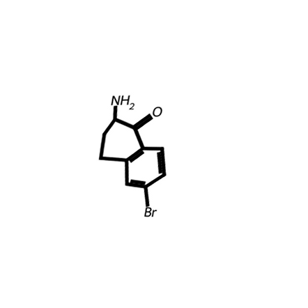 NC1CCc2cc(Br)ccc2C1=O